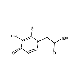 CCCCC(CC)Cn1ccc(=O)c(O)c1C(C)=O